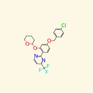 FC(F)(F)c1ccnc(-c2ccc(OCc3ccc(Cl)cc3)cc2OC2CCCCO2)n1